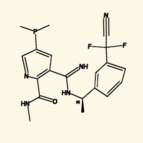 CNC(=O)c1ncc(P(C)C)cc1C(=N)N[C@H](C)c1cccc(C(F)(F)C#N)c1